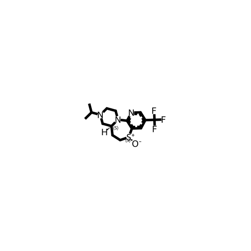 CC(C)N1CCN2c3ncc(C(F)(F)F)cc3[S@+]([O-])CC[C@H]2C1